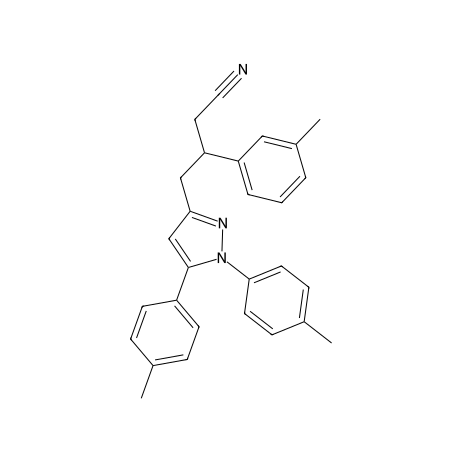 Cc1ccc(-c2cc(CC(CC#N)c3cccc(C)c3)nn2-c2ccc(C)cc2)cc1